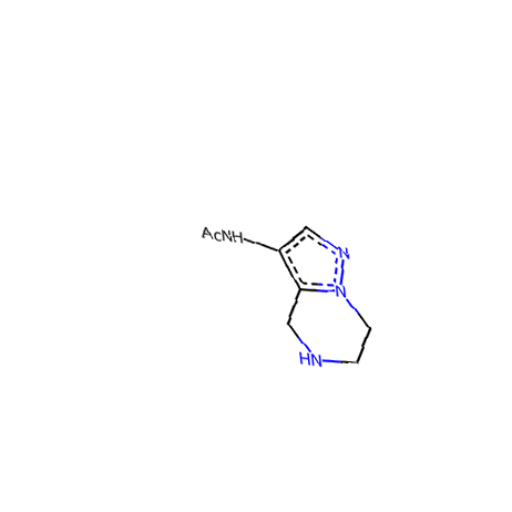 CC(=O)Nc1cnn2c1CNCC2